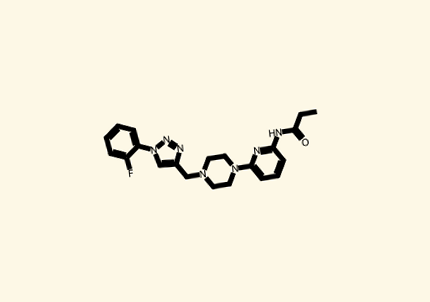 CCC(=O)Nc1cccc(N2CCN(Cc3cn(-c4ccccc4F)nn3)CC2)n1